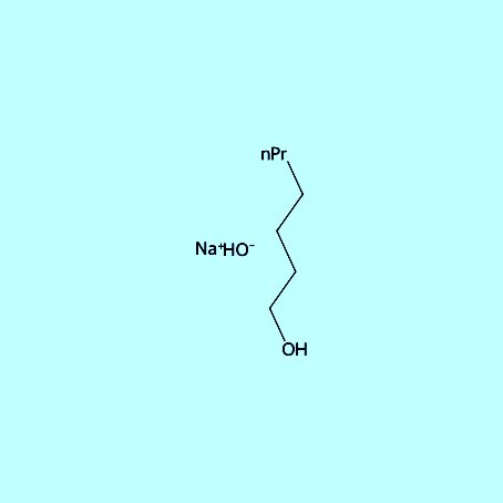 CCCCCCCO.[Na+].[OH-]